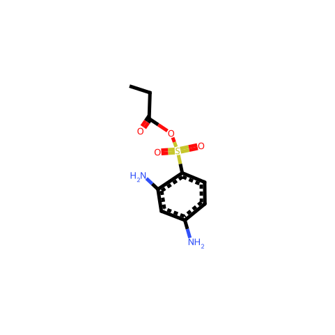 CCC(=O)OS(=O)(=O)c1ccc(N)cc1N